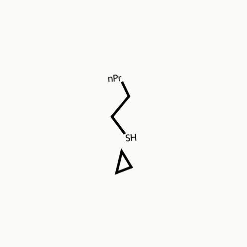 C1CC1.CCCCCS